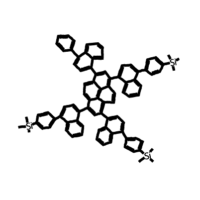 C[Si](C)(C)c1ccc(-c2ccc(-c3cc(-c4ccc(-c5ccccc5)c5ccccc45)c4ccc5c(-c6ccc(-c7ccc([Si](C)(C)C)cc7)c7ccccc67)cc(-c6ccc(-c7ccc([Si](C)(C)C)cc7)c7ccccc67)c6ccc3c4c56)c3ccccc23)cc1